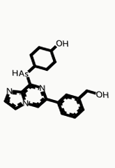 OCc1cccc(-c2cn3ccnc3c([AsH]C3CCC(O)CC3)n2)c1